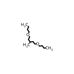 CCCCOCCC(C)CCOCCCC